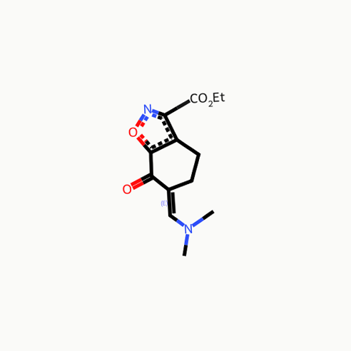 CCOC(=O)c1noc2c1CC/C(=C\N(C)C)C2=O